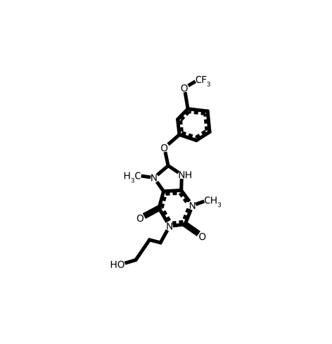 CN1c2c(n(C)c(=O)n(CCCO)c2=O)NC1Oc1cccc(OC(F)(F)F)c1